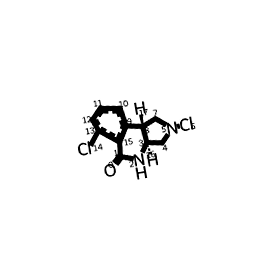 O=C1N[C@@H]2CN(Cl)C[C@H]2c2cccc(Cl)c21